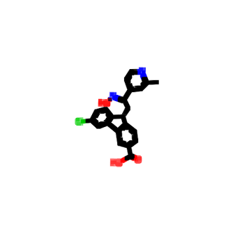 Cc1cc(/C(C[C@@H]2c3ccc(Cl)cc3-c3cc(C(=O)O)ccc32)=N/O)ccn1